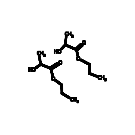 CCCOC(=O)C(C)O.CCCOC(=O)C(C)O